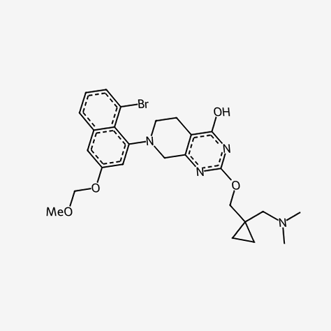 COCOc1cc(N2CCc3c(O)nc(OCC4(CN(C)C)CC4)nc3C2)c2c(Br)cccc2c1